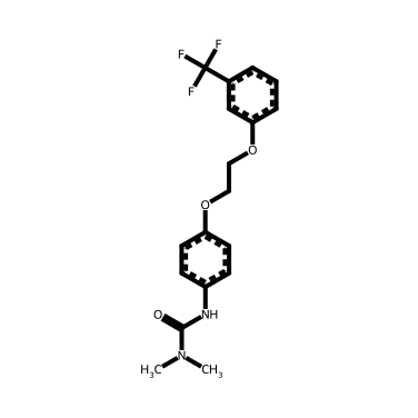 CN(C)C(=O)Nc1ccc(OCCOc2cccc(C(F)(F)F)c2)cc1